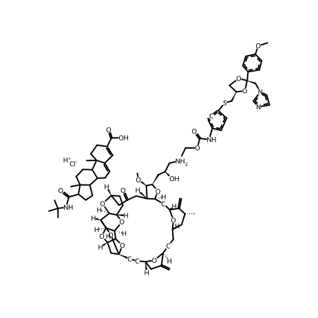 C=C1C[C@@H]2CC[C@@]34C[C@@H]5O[C@@H]6[C@@H](O[C@H]7CC[C@H](CC(=O)C[C@@H]8[C@@H](OC)[C@@H](C[C@H](O)CN)O[C@H]8C[C@H]8O[C@@H](CC[C@@H]1O2)C[C@@H](C)C8=C)O[C@@H]7[C@@H]6O3)[C@H]5O4.CC(C)(C)NC(=O)C1CCC2C3CC=C4C=C(C(=O)O)CCC4(C)C3CCC12C.CCOC(=O)Nc1ccc(SC[C@H]2CO[C@](Cn3ccnc3)(c3ccc(OC)cc3)O2)cc1.[Cl-].[H+]